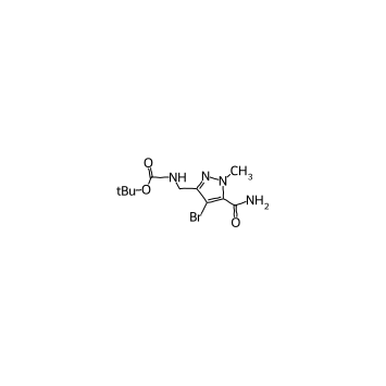 Cn1nc(CNC(=O)OC(C)(C)C)c(Br)c1C(N)=O